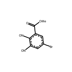 COC(=O)c1cc(Br)cc(N=O)c1N=O